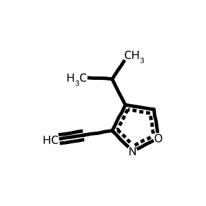 C#Cc1nocc1C(C)C